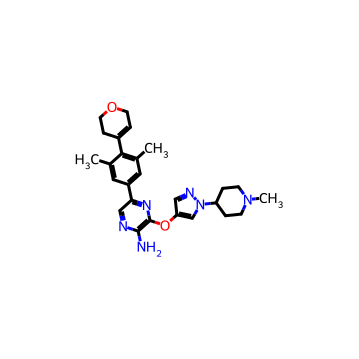 Cc1cc(-c2cnc(N)c(Oc3cnn(C4CCN(C)CC4)c3)n2)cc(C)c1C1=CCOCC1